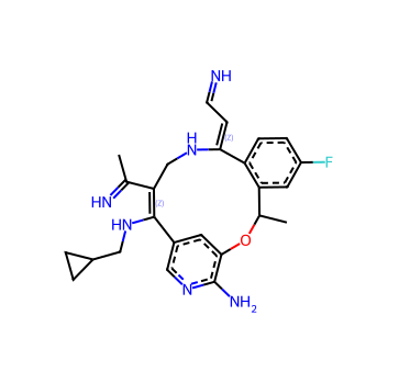 CC(=N)/C1=C(\NCC2CC2)c2cnc(N)c(c2)OC(C)c2cc(F)ccc2/C(=C/C=N)NC1